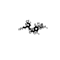 CCCC=Cc1nc(C(F)(F)F)ccc1CNC(=O)C(C)c1ccc(NS(C)(=O)=O)c(F)c1